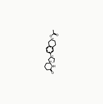 CC(=O)O[C@@H]1CCc2cc([C@H]3CC[C@]4(CCCC(=O)N4)C3)ccc2C1